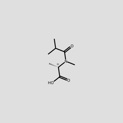 CC(C)C(=O)N(C)[C@@H](C)C(=O)O